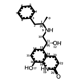 C[C@H](Cc1ccccc1)NC[C@H](O)c1ccc(O)c2[nH]c(=O)ccc12